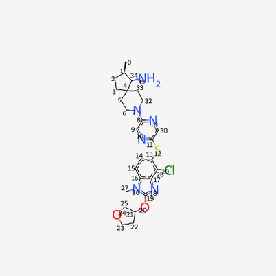 C[C@@H]1CCC2(CCN(c3cnc(Sc4ccc5c(nc(OC6CCOC6)n5C)c4Cl)cn3)CC2)[C@@H]1N